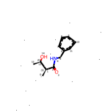 C[C@H](C(=O)NCc1ccccc1)[C@@H](C)O